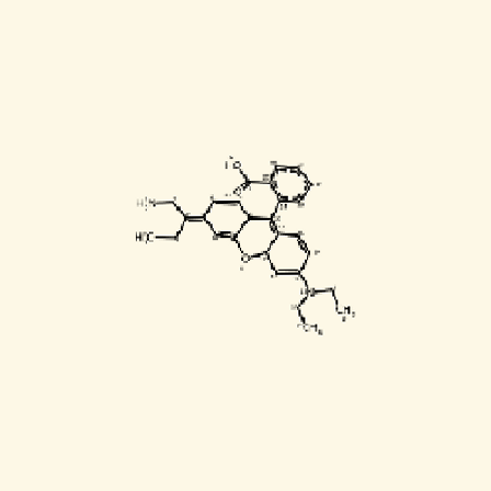 CC/C(CN)=C1/C=CC2C(=C1)OC1C=C(N(CC)CC)C=CC1=C2c1ccccc1C(=O)O